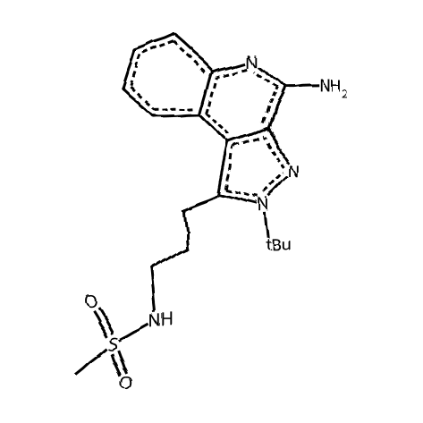 CC(C)(C)n1nc2c(N)nc3ccccc3c2c1CCCNS(C)(=O)=O